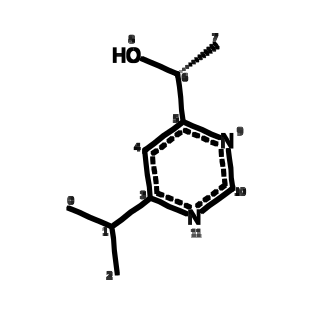 CC(C)c1cc([C@@H](C)O)ncn1